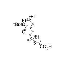 CCC(CC)CC(CCC(C)(CC)SCC(=O)O)C(=O)OC(C)(C)C